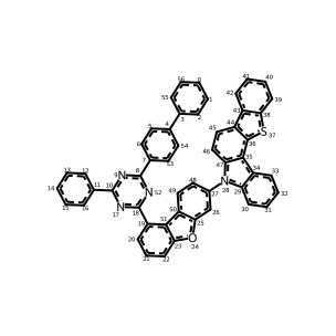 c1ccc(-c2ccc(-c3nc(-c4ccccc4)nc(-c4cccc5oc6cc(-n7c8ccccc8c8c9sc%10ccccc%10c9ccc87)ccc6c45)n3)cc2)cc1